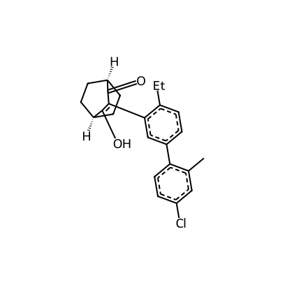 CCc1ccc(-c2ccc(Cl)cc2C)cc1C1=C(O)[C@H]2CC[C@H](CC2)C1=O